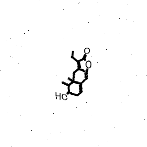 CCC1=C2CC3(C)C(=CCC(O)C3C)C=C2OC1=O